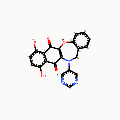 O=C1C2=C(C(=O)c3c(O)ccc(O)c31)N(c1cncnc1)Cc1ccccc1O2